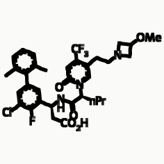 CCC[C@@H](C(=O)N[C@@H](CC(=O)O)c1cc(-c2c(C)cccc2C)cc(Cl)c1F)n1cc(CCN2CC(OC)C2)c(C(F)(F)F)cc1=O